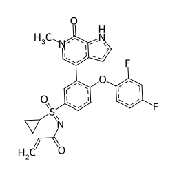 C=CC(=O)N=S(=O)(c1ccc(Oc2ccc(F)cc2F)c(-c2cn(C)c(=O)c3[nH]ccc23)c1)C1CC1